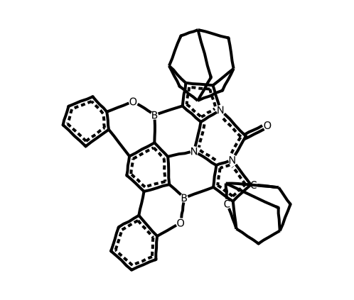 O=c1n2c3c(c4c2n2c5c(c6c(n15)C1CC5CC(CC6C5)C1)B1Oc5ccccc5-c5cc6c(c-2c51)B4Oc1ccccc1-6)C1CC2CC(C1)CC3C2